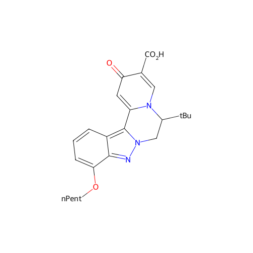 CCCCCOc1cccc2c3n(nc12)CC(C(C)(C)C)n1cc(C(=O)O)c(=O)cc1-3